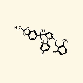 CC1Oc2ccc(C(C)(C)c3cnc(SCc4c(F)cccc4C(F)(F)F)n3-c3ccc(F)cc3)cc2O1